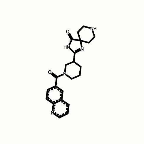 O=C(c1ccc2ncccc2c1)N1CCCC(C2=NC3(CCNCC3)C(=O)N2)C1